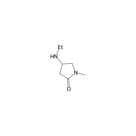 CCNC1CC(=O)N(C)C1